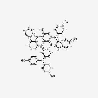 CC(C)(C)c1ccc(N(c2ccc(C(C)(C)C)cc2)c2ccc3c(c2)N(c2cccc4c2oc2ccccc24)c2cc(C(C)(C)C)cc4c2B3c2sc3ccc(C(C)(C)C)cc3c2N4c2ccc(C(C)(C)C)cc2)cc1